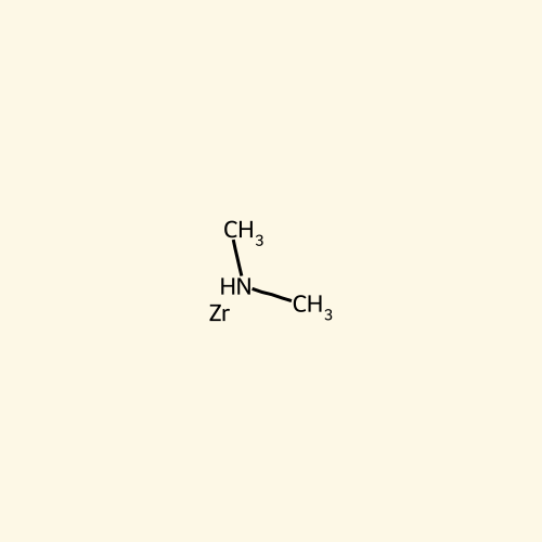 CNC.[Zr]